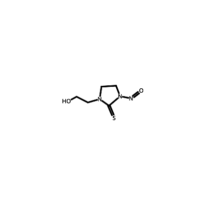 O=NN1CCN(CCO)C1=S